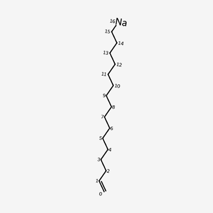 C=CCCCCCCCCCCCCC[CH2][Na]